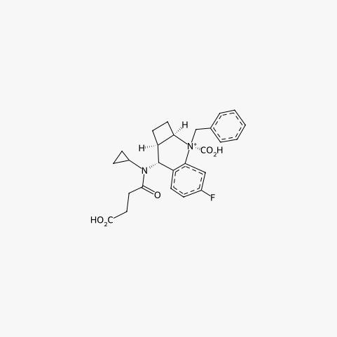 O=C(O)CCC(=O)N(C1CC1)[C@H]1c2ccc(F)cc2[N@@+](Cc2ccccc2)(C(=O)O)[C@@H]2CC[C@@H]21